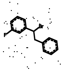 Fc1cccc(C(Br)Cc2ccccc2)c1